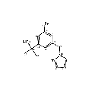 CC(C)c1cc(Cn2cncn2)cc(C(C)(C)C#N)c1